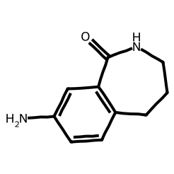 Nc1ccc2c(c1)C(=O)NCCC2